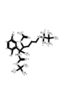 CC(=O)SC(CCCO[Si](C)(C)C(C)(C)C)C(C)(NC(=O)OC(C)(C)C)c1cc(Br)ccc1F